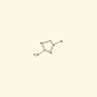 CC(=O)n1cnc(N)n1